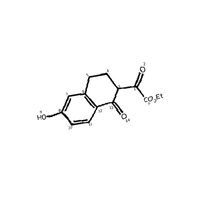 CCOC(=O)C(=O)C1CCc2cc(O)ccc2C1=O